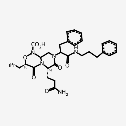 CC(C)C[C@H]1ON(C(=O)O)C2CN(C(Cc3ccccc3)C(=O)NCCCc3ccccc3)C(=O)[C@H](CCC(N)=O)N2C1=O